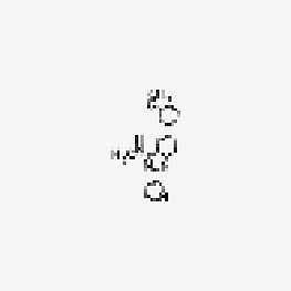 CNc1nc(-c2cccnc2)nc2ccc(-c3cccc(OC)c3)cc12